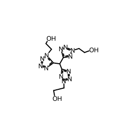 OCCn1nnc(C(c2nnn(CCO)n2)c2nnnn2CCO)n1